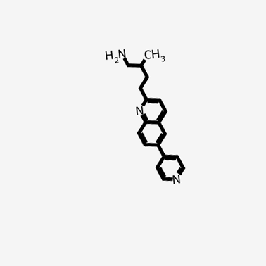 CC(CN)CCc1ccc2cc(-c3ccncc3)ccc2n1